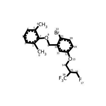 Cc1cccc(C)c1OCc1cc(OCC(CF)C(F)(F)F)ccc1Br